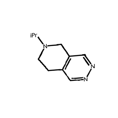 CC(C)N1CCc2cnncc2C1